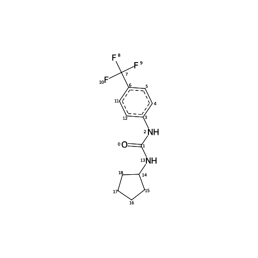 O=C(Nc1ccc(C(F)(F)F)cc1)NC1CCCC1